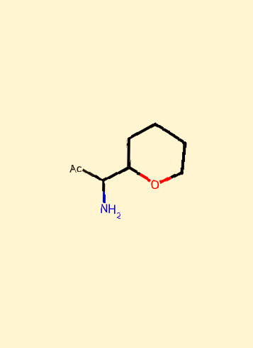 CC(=O)C(N)C1CCCCO1